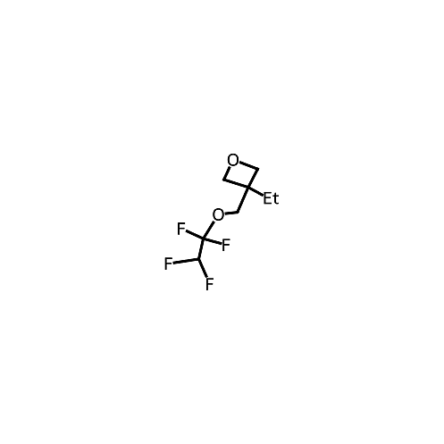 CCC1(COC(F)(F)C(F)F)COC1